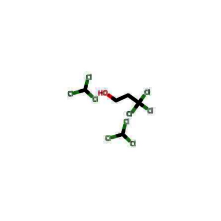 ClC(Cl)Cl.ClC(Cl)Cl.OCCC(Cl)(Cl)Cl